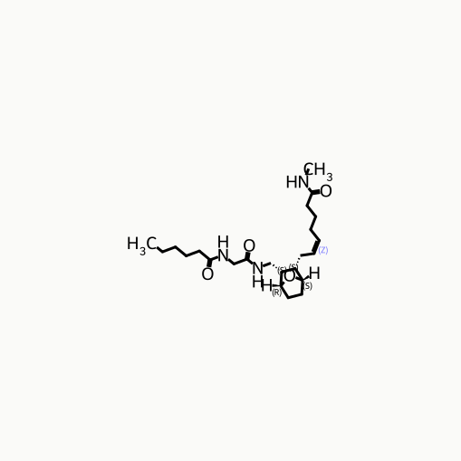 CCCCCC(=O)NCC(=O)NC[C@@H]1[C@H](C/C=C\CCCC(=O)NC)[C@@H]2CC[C@H]1O2